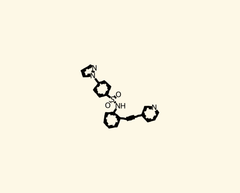 O=S(=O)(Nc1ccccc1C#Cc1cccnc1)c1ccc(-n2cccn2)cc1